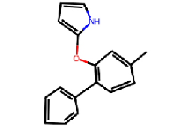 Cc1ccc(-c2ccccc2)c(Oc2ccc[nH]2)c1